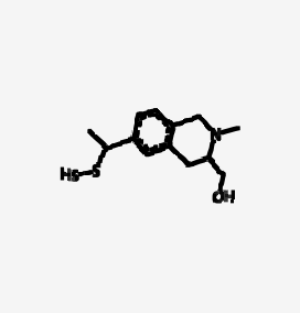 CC(SS)c1ccc2c(c1)CC(CO)N(C)C2